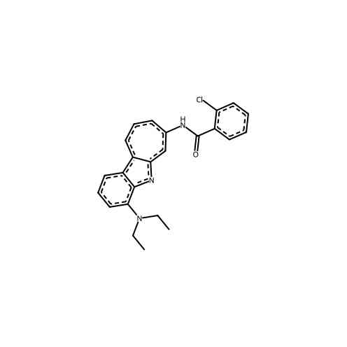 CCN(CC)c1cccc2c3cccc(NC(=O)c4ccccc4Cl)cc-3nc12